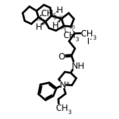 CCC[N+]1(c2ccccc2)CCC(NC(=O)CCC(C)[C@H]2CC[C@H]3[C@@H]4CCC5CCCC[C@]5(C)[C@H]4CC[C@]23C)CC1.[I-]